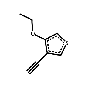 C#Cc1cscc1OCC